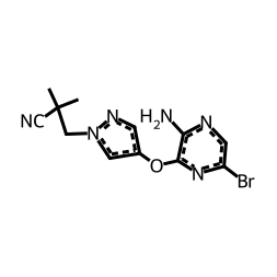 CC(C)(C#N)Cn1cc(Oc2nc(Br)cnc2N)cn1